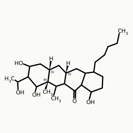 CCCCCC1CCC(O)C2C(=O)C3C(C)[C@]4(C)C(O)C(C(C)O)C(O)C[C@@H]4C[C@@H]3CC12